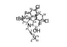 CC(C)(C)C[C@@H]1N(CC#C[Si](C)(C)C)[C@@H](CO)[C@H](c2cccc(Cl)c2F)[C@@]1(C#N)c1ccc(Cl)cc1F